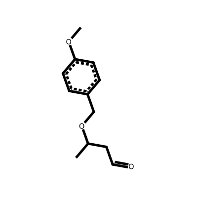 COc1ccc(COC(C)CC=O)cc1